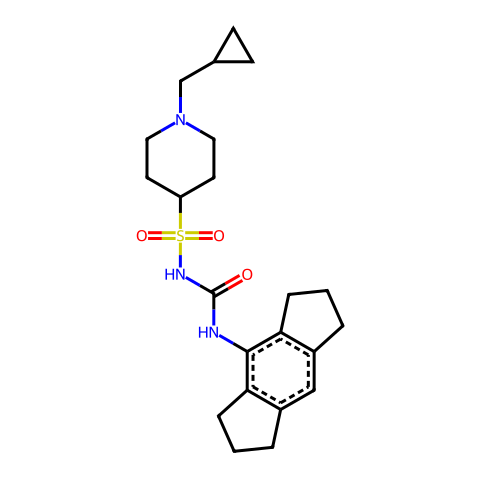 O=C(Nc1c2c(cc3c1CCC3)CCC2)NS(=O)(=O)C1CCN(CC2CC2)CC1